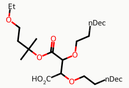 CCCCCCCCCCCCOC(C(=O)O)C(OCCCCCCCCCCCC)C(=O)OC(C)(C)CCOCC